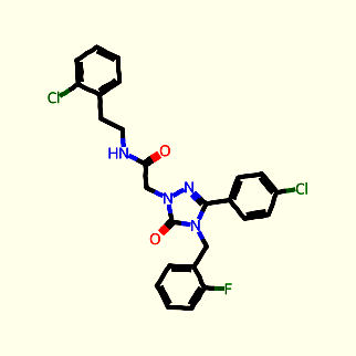 O=C(Cn1nc(-c2ccc(Cl)cc2)n(Cc2ccccc2F)c1=O)NCCc1ccccc1Cl